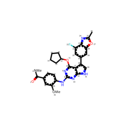 CNC(=O)c1ccc(Nc2nc(OC3CCCC3)c3c(-c4cc(F)c5nc(C)oc5c4)c[nH]c3n2)c(OC)c1